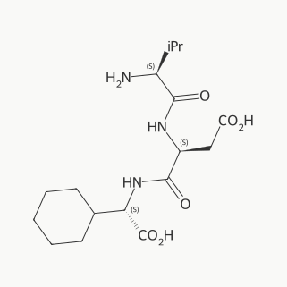 CC(C)[C@H](N)C(=O)N[C@@H](CC(=O)O)C(=O)N[C@H](C(=O)O)C1CCCCC1